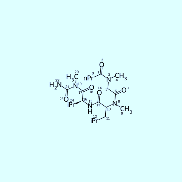 CCCC(=O)N(C)CC(=O)N(C)[C@@H](CC(C)C)C(=O)N[C@H](C(=O)N(C)C(N)=O)C(C)C